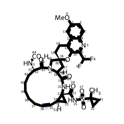 COc1ccc2nc(C(F)F)c3c(c2c1)CC[C@]1(C[C@H]2C(=O)N[C@]4(C(=O)NS(=O)(=O)C5(C)CC5)C[C@H]4/C=C\CCCCC[C@H](NC(=O)O)C(=O)N2C1)O3